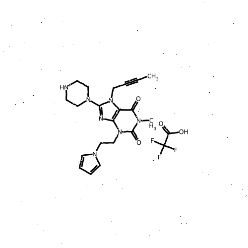 CC#CCn1c(N2CCNCC2)nc2c1c(=O)n(C)c(=O)n2CCn1cccc1.O=C(O)C(F)(F)F